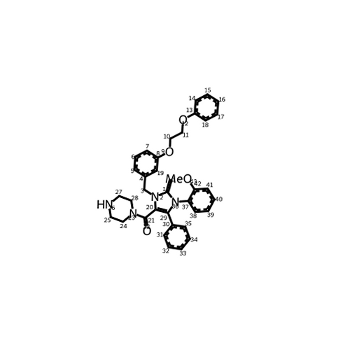 C=C1N(Cc2cccc(OCCOc3ccccc3)c2)C(C(=O)N2CCNCC2)=C(c2ccccc2)N1c1ccccc1OC